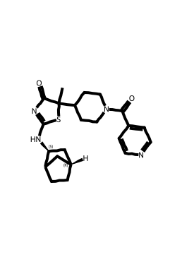 CC1(C2CCN(C(=O)c3ccncc3)CC2)SC(N[C@H]2C[C@@H]3CCC2C3)=NC1=O